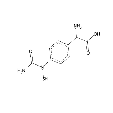 NC(=O)N(S)c1ccc(C(N)C(=O)O)cc1